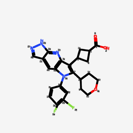 O=C(O)C1CC(c2c(C3CCOCC3)n(-c3ccc(F)c(F)c3)c3cc4cn[nH]c4nc23)C1